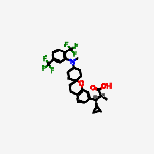 C[C@H](C(=O)O)[C@H](c1ccc2c(c1)OC1(CC2)CCC(N(C)c2cc(C(F)(F)F)ccc2C(F)(F)F)CC1)C1CC1